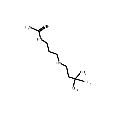 CC(C)(C)CCNCCCNC(=N)N